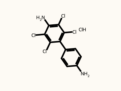 Cl.Nc1ccc(-c2c(Cl)c(Cl)c(N)c(Cl)c2Cl)cc1